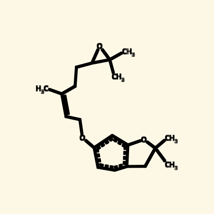 CC(=CCOc1ccc2c(c1)OC(C)(C)C2)CCC1OC1(C)C